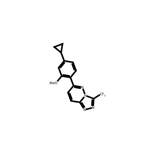 COc1cc(C2CC2)ccc1-c1ccc2nnc(C(F)(F)F)n2n1